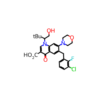 CC(C)(C)C(CO)n1cc(C(=O)O)c(=O)c2cc(Cc3cccc(Cl)c3F)c(N3CCOCC3)cc21